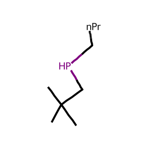 CCCCPCC(C)(C)C